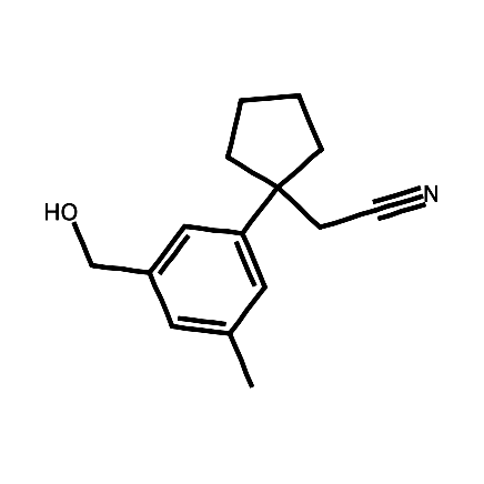 Cc1cc(CO)cc(C2(CC#N)CCCC2)c1